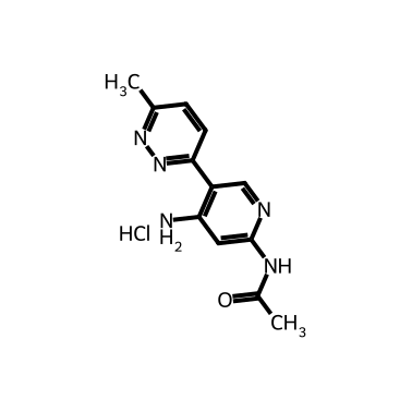 CC(=O)Nc1cc(N)c(-c2ccc(C)nn2)cn1.Cl